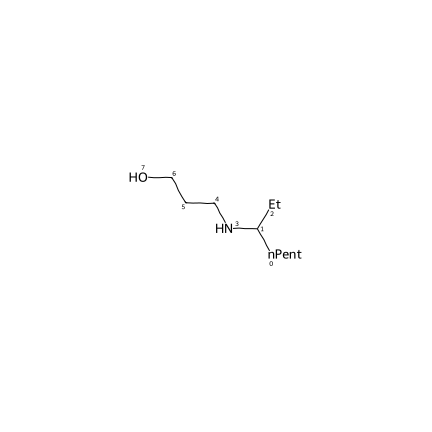 CCCCCC(CC)NCCCO